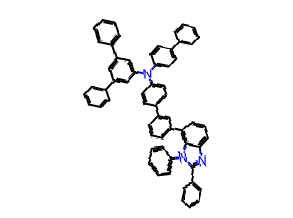 c1ccc(-c2ccc(N(c3ccc(-c4cccc(-c5cccc6nc(-c7ccccc7)n(-c7ccccc7)c56)c4)cc3)c3cc(-c4ccccc4)cc(-c4ccccc4)c3)cc2)cc1